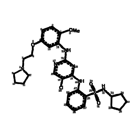 COc1ccc(OCCN2CCCC2)cc1Nc1ncc(Cl)c(Nc2ccccc2S(=O)(=O)NC2CCCC2)n1